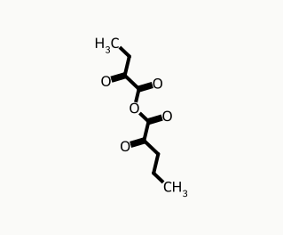 CCCC(=O)C(=O)OC(=O)C(=O)CC